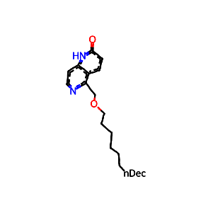 CCCCCCCCCCCCCCCCOCc1nccc2[nH]c(=O)ccc12